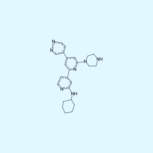 c1cc(-c2cc(-c3ccnc(NC4CCCCC4)c3)nc(N3CCNCC3)c2)cnn1